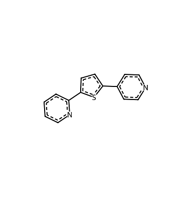 c1ccc(-c2ccc(-c3ccncc3)s2)nc1